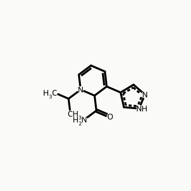 CC(C)N1C=CC=C(c2cn[nH]c2)C1C(N)=O